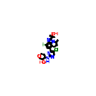 CC1CCc2c(-c3nc(NC4CCOCC4O)ncc3Cl)cc(F)c3nc(C(C)(C)O)n1c23